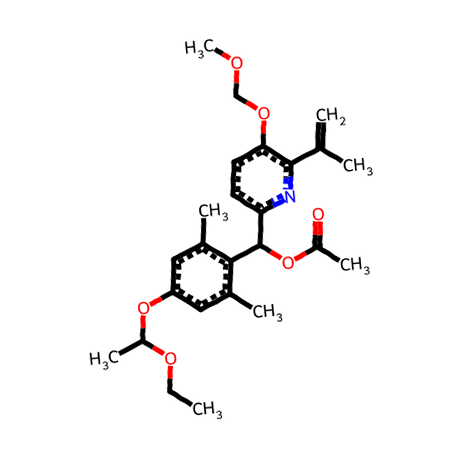 C=C(C)c1nc(C(OC(C)=O)c2c(C)cc(OC(C)OCC)cc2C)ccc1OCOC